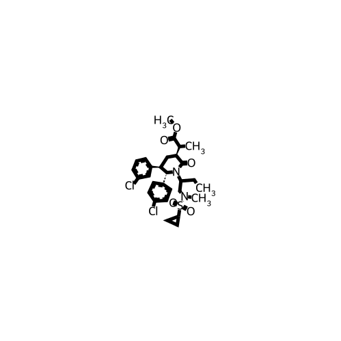 CCC(CN(C)S(=O)(=O)C1CC1)N1C(=O)[C@H](C(C)C(=O)OC)C[C@H](c2cccc(Cl)c2)[C@H]1c1ccc(Cl)cc1